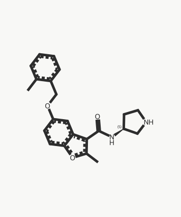 Cc1ccccc1COc1ccc2oc(C)c(C(=O)N[C@H]3CCNC3)c2c1